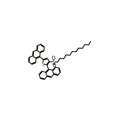 CCCCCCCCCCCCS(=O)(=O)c1cc(-c2c3ccccc3cc3ccccc23)sc1-c1c2ccccc2cc2ccccc12